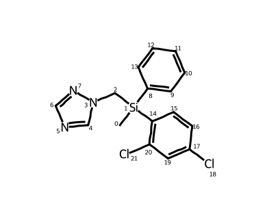 C[Si](Cn1cncn1)(c1ccccc1)c1ccc(Cl)cc1Cl